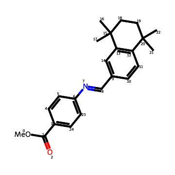 COC(=O)c1ccc(N=Cc2ccc3c(c2)C(C)(C)CCC3(C)C)cc1